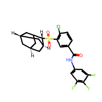 O=C(Nc1cc(F)c(F)c(F)c1)c1ccc(Cl)c(S(=O)(=O)[C@H]2C3C[C@@H]4C[C@H](C3)C[C@@H]2C4)c1